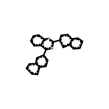 c1ccc2cc(-c3nc(-c4ccc5ccccc5c4)c4ccccc4n3)ccc2c1